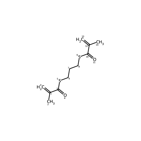 C=C(C)C(=O)SCCCSC(=O)C(=C)C